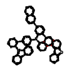 c1ccc(-c2ccc(-c3ccc4ccccc4c3)cc2N(c2ccc(-c3ccccc3-n3c4ccccc4c4ccccc43)cc2)c2cccc(-c3cccc4oc5ccccc5c34)c2)cc1